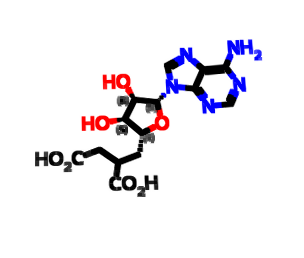 Nc1ncnc2c1ncn2[C@@H]1O[C@H](CC(CC(=O)O)C(=O)O)[C@@H](O)[C@H]1O